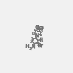 Nc1ccc(N2CCS(=O)(=O)CC2)c(F)c1Br